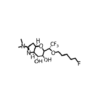 CN(C)C1=N[C@@H]2[C@@H](O)[C@H](O)C([C@@H](OCCCCCF)C(F)(F)F)O[C@@H]2C1